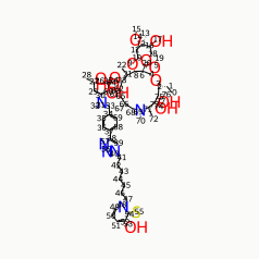 CC[C@H]1OC(=O)[C@H](C)[C@@H](O[C@H]2C[C@@](C)(OC)[C@@H](O)[C@H](C)O2)[C@H](C)[C@@H](O[C@@H]2O[C@H](C)C[C@H](N(C)Cc3ccc(-c4cn(CCCCCCCn5cccc(O)c5=S)nn4)cc3)[C@@H]2O)[C@](C)(O)C[C@@H](C)CN(C)[C@H](C)[C@@H](O)[C@]1(C)O